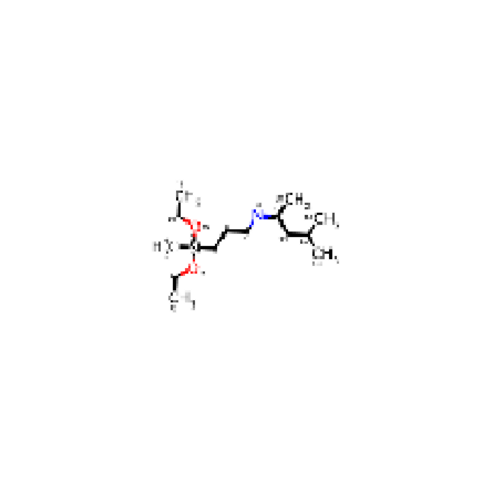 CCO[Si](C)(CCCN=C(C)CC(C)C)OCC